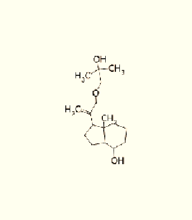 C=C(COCC(C)(C)O)C1CCC2C(O)CCCC12C